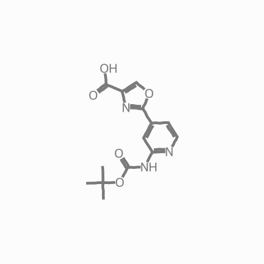 CC(C)(C)OC(=O)Nc1cc(-c2nc(C(=O)O)co2)ccn1